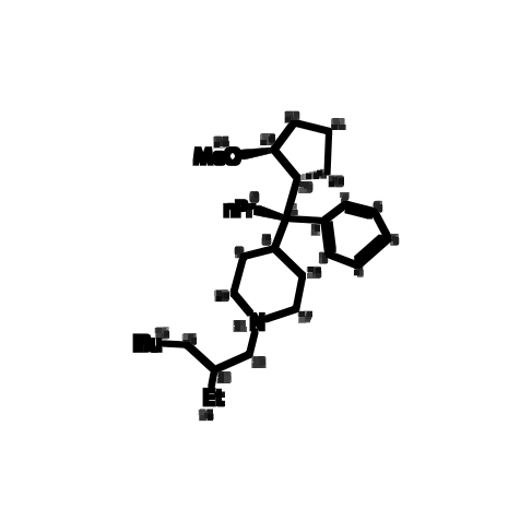 CCC[C@@](c1ccccc1)(C1CCN(CC(CC)CC(C)CC)CC1)[C@H]1CCC[C@@H]1OC